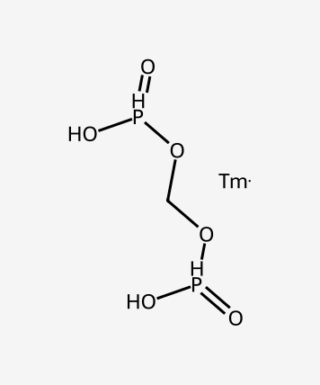 O=[PH](O)OCO[PH](=O)O.[Tm]